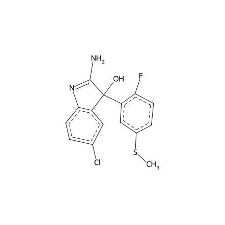 CSc1ccc(F)c(C2(O)C(N)=Nc3ccc(Cl)cc32)c1